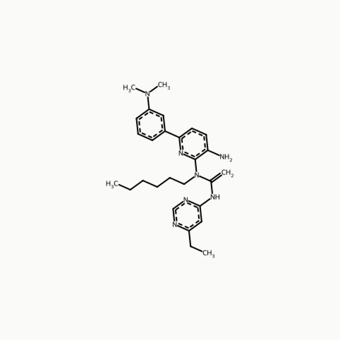 C=C(Nc1cc(CC)ncn1)N(CCCCCC)c1nc(-c2cccc(N(C)C)c2)ccc1N